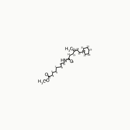 COC(=O)CCCCCCCNC(=O)CCC(C)CCN1CCCCC1